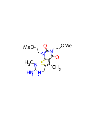 C/N=C1\NCCN1Cc1sc2c(c1C)c(=O)n(CCOC)c(=O)n2CCOC